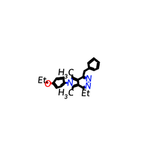 CCOc1ccc(-n2c(C)c3c(CC)nnc(Cc4ccccc4)c3c2C)cc1